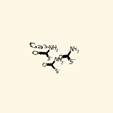 NC(=O)[S-].NC(=O)[S-].NC(=O)[S-].[Ga+3]